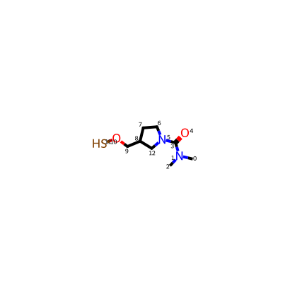 CN(C)C(=O)N1CCC(COS)C1